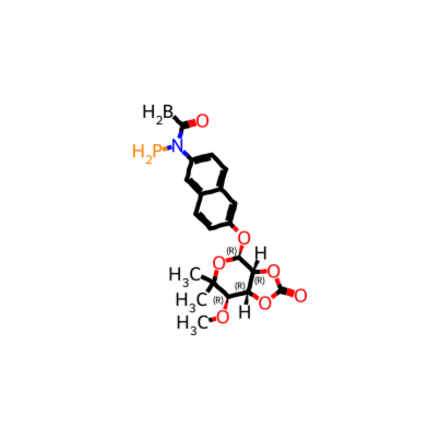 BC(=O)N(P)c1ccc2cc(O[C@@H]3OC(C)(C)[C@H](OC)[C@H]4OC(=O)O[C@@H]34)ccc2c1